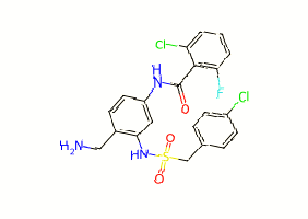 NCc1ccc(NC(=O)c2c(F)cccc2Cl)cc1NS(=O)(=O)Cc1ccc(Cl)cc1